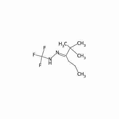 CCC/C(=N\NC(F)(F)F)C(C)(C)C